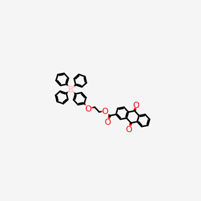 O=C(OCCOc1ccc([B-](c2ccccc2)(c2ccccc2)c2ccccc2)cc1)c1ccc2c(c1)C(=O)c1ccccc1C2=O